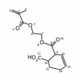 C=C(C)C(=O)OCCOC(=O)C1C=CCCC1C(=O)O